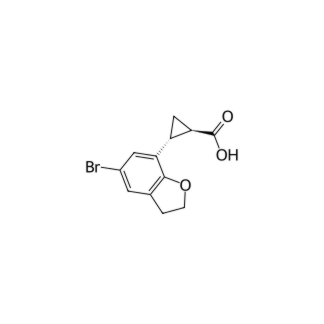 O=C(O)[C@@H]1C[C@H]1c1cc(Br)cc2c1OCC2